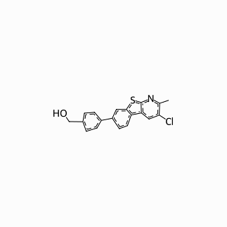 Cc1nc2sc3cc(-c4ccc(CO)cc4)ccc3c2cc1Cl